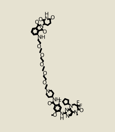 COc1cc(C(=O)NC2CCN(CCOCCOCCOCCOCCOCCNc3cccc4c3C(=O)N(C3CCC(=O)NC3=O)C4=O)CC2)c(F)cc1Nc1ncc2c(n1)N(C1CCCC1)CC(F)(F)C(=O)N2C